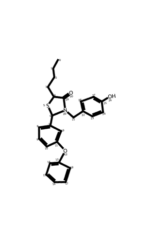 CCCCC1SC(c2cccc(Oc3ccccc3)c2)N(Cc2ccc(O)cc2)C1=O